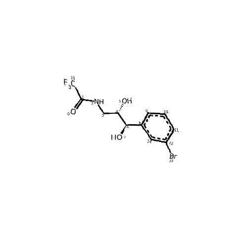 O=C(NC[C@H](O)[C@H](O)c1cccc(Br)c1)C(F)(F)F